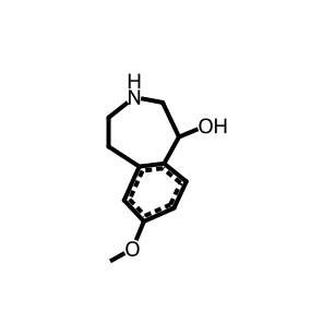 COc1ccc2c(c1)CCNCC2O